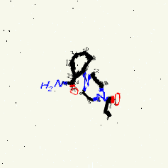 C=CC(=O)N1CCN(c2ccccc2C(N)=O)CC1